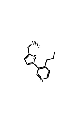 CCCc1ccncc1-c1ccc(CN)s1